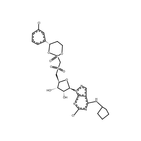 O=P1(CS(=O)(=O)C[C@H]2O[C@@H](n3ncc4c(NC5CCCC5)nc(Cl)nc43)[C@H](O)[C@@H]2O)OCC[C@@H](c2cccc(Cl)c2)O1